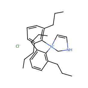 CCCc1cccc(CCC)c1[N+]1(c2c(CCC)cccc2CCC)C=CNC1.[Cl-]